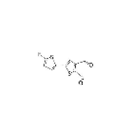 O=Cc1cc(-c2ccc(F)s2)sc1C=O